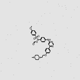 COc1ccc(S(=O)(=O)N(OC=O)c2ccc(Nc3cc(-c4ccc(OCCN5CCN(C)CC5)cc4)ncn3)cc2)cc1